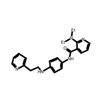 CCN(CC)c1ncccc1C(=O)Nc1ccc(NCCc2ccccn2)cc1